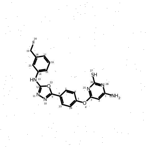 Nc1cc(Oc2ccc(-c3nnc(Nc4cccc(CF)c4)o3)cc2)nc(S)n1